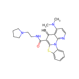 B=C1C(C(=O)NCCN2CCCC2)=C2Sc3ccccc3N2c2nccc(N(C)C)c21